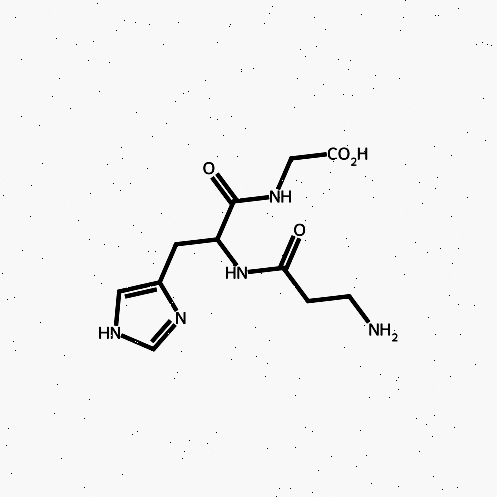 NCCC(=O)NC(Cc1c[nH]cn1)C(=O)NCC(=O)O